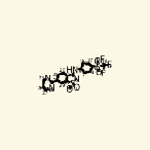 O=S1(=O)N=C(Nc2ccc(S(=O)(=O)C(F)(F)F)cc2)c2ccc(-c3ncccn3)cc21